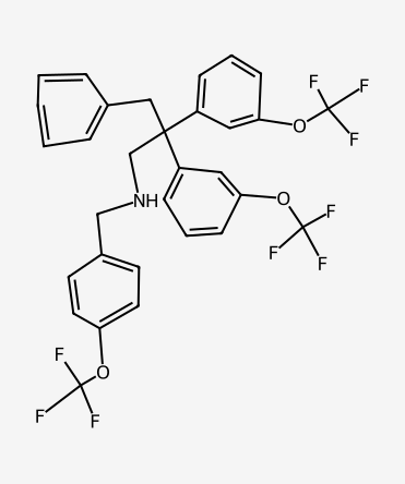 FC(F)(F)Oc1ccc(CNCC(Cc2ccccc2)(c2cccc(OC(F)(F)F)c2)c2cccc(OC(F)(F)F)c2)cc1